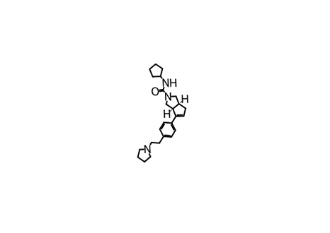 O=C(NC1CCCC1)N1C[C@H]2CC=C(c3ccc(CCN4CCCC4)cc3)[C@H]2C1